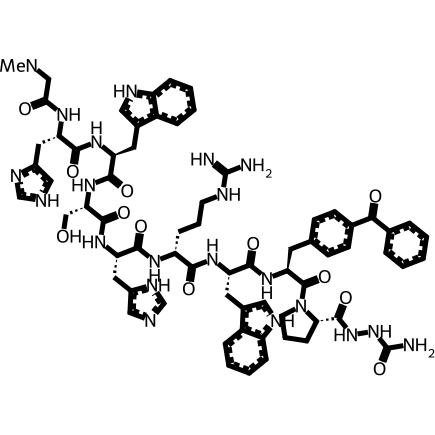 CNCC(=O)N[C@@H](Cc1c[nH]cn1)C(=O)N[C@@H](Cc1c[nH]c2ccccc12)C(=O)N[C@@H](CO)C(=O)N[C@@H](Cc1cnc[nH]1)C(=O)N[C@H](CCCNC(=N)N)C(=O)N[C@@H](Cc1c[nH]c2ccccc12)C(=O)N[C@@H](Cc1ccc(C(=O)c2ccccc2)cc1)C(=O)N1CCC[C@H]1C(=O)NNC(N)=O